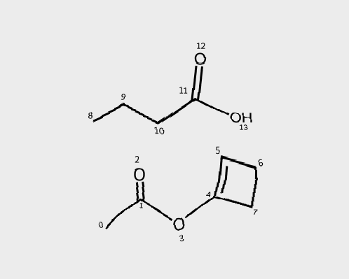 CC(=O)OC1=CCC1.CCCC(=O)O